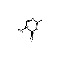 CCn1cnc(C)cc1=O